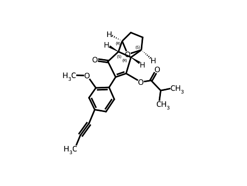 CC#Cc1ccc(C2=C(OC(=O)C(C)C)[C@@H]3[C@H](C2=O)[C@H]2CC[C@@H]3O2)c(OC)c1